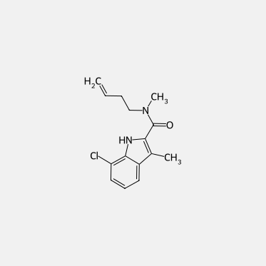 C=CCCN(C)C(=O)c1[nH]c2c(Cl)cccc2c1C